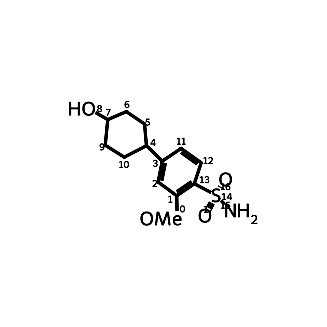 COc1cc(C2CCC(O)CC2)ccc1S(N)(=O)=O